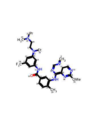 C=N/C=N\C(Nc1cc(C(=O)Nc2cc(N(CC)CCN(C)C(C)C)cc(C(F)(F)F)c2)ccc1C)=C1/CC=NC(OC)=N1